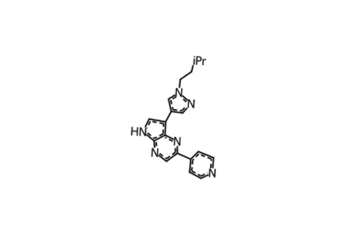 CC(C)CCn1cc(-c2c[nH]c3ncc(-c4ccncc4)nc23)cn1